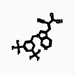 N#C/C(=C\c1cn(CC2=CC(C(F)(F)F)=CC(C(F)(F)F)C2)c2cnccc12)C(=O)O